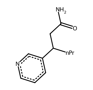 CCCC(CC(N)=O)c1cccnc1